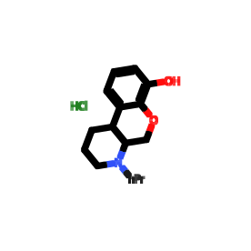 CCCN1CCCC2c3cccc(O)c3OCC21.Cl